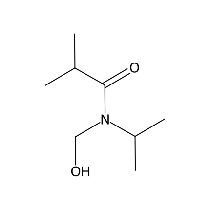 CC(C)C(=O)N(CO)C(C)C